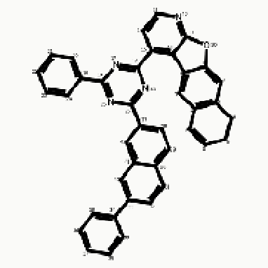 C1=Cc2cc3c(cc2CC1)oc1nccc(-c2nc(-c4ccccc4)nc(-c4ccc5ccc(-c6ccccc6)cc5c4)n2)c13